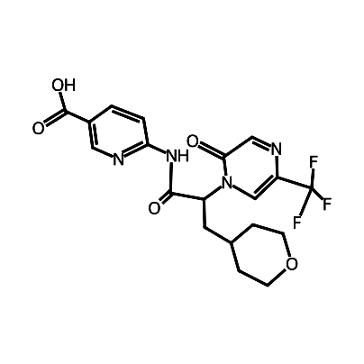 O=C(O)c1ccc(NC(=O)C(CC2CCOCC2)n2cc(C(F)(F)F)ncc2=O)nc1